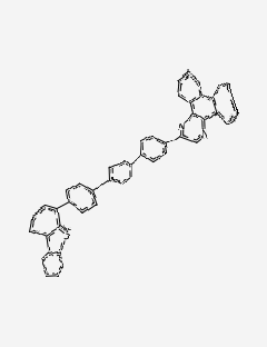 c1ccc2c(c1)sc1c(-c3ccc(-c4ccc(-c5ccc(-c6cnc7c8ccccc8c8ccccc8c7n6)cc5)cc4)cc3)cccc12